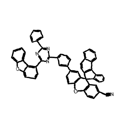 N#Cc1ccc2c(c1)C1(c3cc(-c4cccc(-c5nc(-c6ccccc6)nc(-c6cccc7oc8ccccc8c67)n5)c4)ccc3O2)c2ccccc2-c2c1ccc1ccccc21